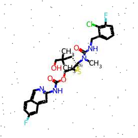 CN(C(=O)NCc1cccc(F)c1Cl)[C@@]1(CC(C)(C)CO)SC1COC(=O)Nc1cc2cc(F)ccc2cn1